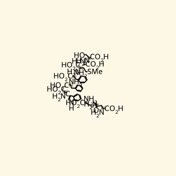 CC(C)C[C@H](N)C(=O)O.CSCC[C@H](N)C(=O)O.NC(=O)C[C@H](N)C(=O)O.NCC(=O)O.N[C@@H](CO)C(=O)O.N[C@@H](Cc1c[nH]c2ccccc12)C(=O)O.N[C@@H](Cc1ccccc1)C(=O)O.N[C@@H](Cc1ccccc1)C(=O)O